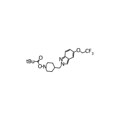 CC(C)(C)C(=O)ON1CCC(Cn2cc3cc(OCC(F)(F)F)ccc3n2)CC1